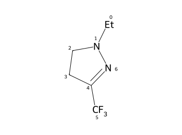 CCN1CCC(C(F)(F)F)=N1